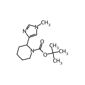 Cn1cnc(C2CCCCN2C(=O)OC(C)(C)C)c1